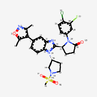 Cc1noc(C)c1-c1ccc2c(c1)nc([C@@H]1CCC(=O)N1c1ccc(Cl)c(F)c1)n2[C@@H]1CCN(S(C)(=O)=O)C1